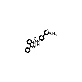 Cc1cc(-c2ccc(NC(=O)Nc3ccccc3C(=O)c3ccccc3)cc2)ccn1